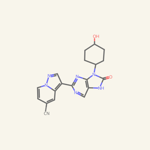 N#Cc1ccn2ncc(-c3ncc4[nH]c(=O)n(C5CCC(O)CC5)c4n3)c2c1